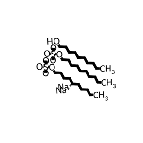 CCCCCCCCCCO.CCCCCCCCCCOS(=O)(=O)[O-].CCCCCCCCCCOS(=O)(=O)[O-].[Na+].[Na+]